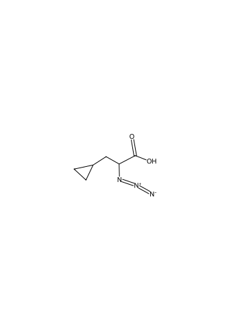 [N-]=[N+]=NC(CC1CC1)C(=O)O